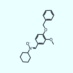 COc1cc(C=[N+]([O-])C2CCCCC2)ccc1OCc1ccccc1